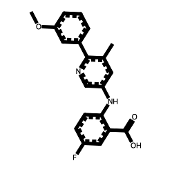 COc1cccc(-c2ncc(Nc3ccc(F)cc3C(=O)O)cc2C)c1